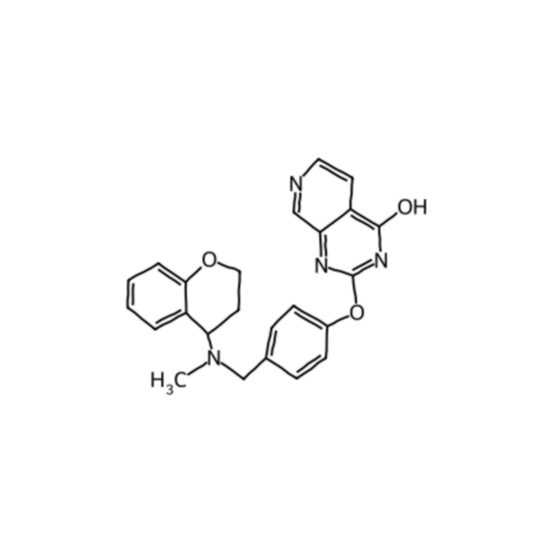 CN(Cc1ccc(Oc2nc(O)c3ccncc3n2)cc1)C1CCOc2ccccc21